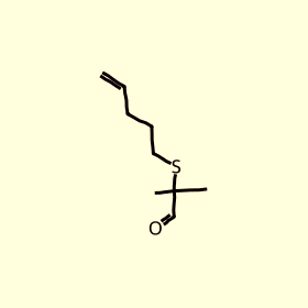 C=CCCCSC(C)(C)C=O